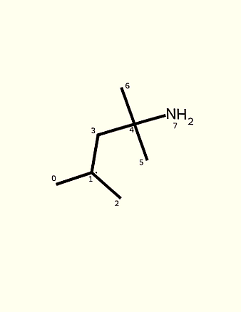 C[C](C)CC(C)(C)N